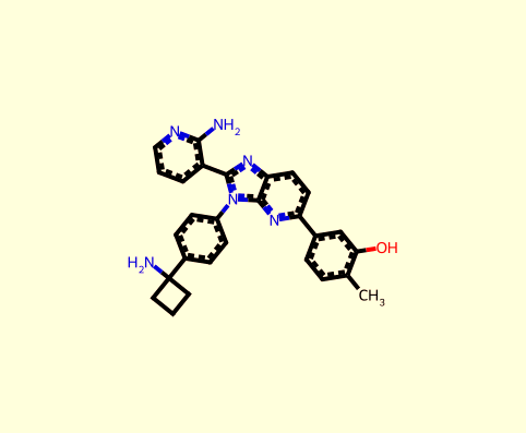 Cc1ccc(-c2ccc3nc(-c4cccnc4N)n(-c4ccc(C5(N)CCC5)cc4)c3n2)cc1O